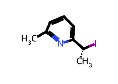 Cc1cccc([C@@H](C)I)n1